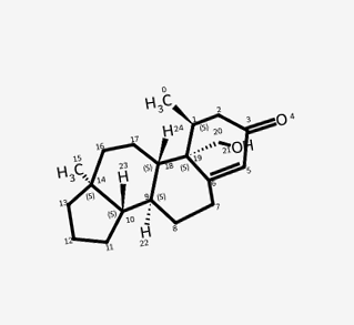 C[C@H]1CC(=O)C=C2CC[C@H]3[C@@H]4CCC[C@@]4(C)CC[C@@H]3[C@]21CO